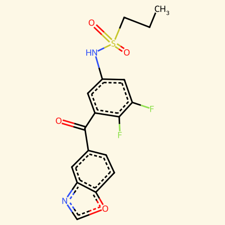 CCCS(=O)(=O)Nc1cc(F)c(F)c(C(=O)c2ccc3ocnc3c2)c1